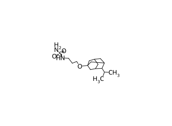 CC(C)C1C2CC3CC1CC(OCCCNS(N)(=O)=O)(C3)C2